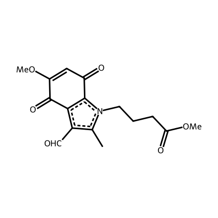 COC(=O)CCCn1c(C)c(C=O)c2c1C(=O)C=C(OC)C2=O